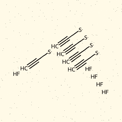 C#C[S].C#C[S].C#C[S].C#C[S].C#C[S].F.F.F.F.F